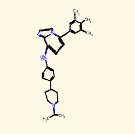 Cc1cc(-c2ccc(Nc3ccc(C4CCN(C(C)C)CC4)cc3)c3nccn23)cc(C)c1C